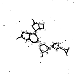 Cc1cnc2c([C@H]3CC(C)C4CCC43)nc([C@H]3C[C@H](C)O[C@@H](c4cnn(C5CC5)c4)C3)cc2n1